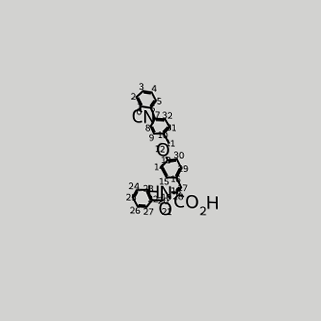 N#Cc1ccccc1-c1ccc(COc2ccc(/C=C(\NC(=O)c3ccccc3)C(=O)O)cc2)cc1